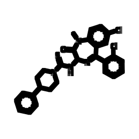 CN1C(=O)C(NC(=S)N2CCC(c3ccccc3)CC2)N=C(c2ccccc2Cl)c2cc(Cl)ccc21